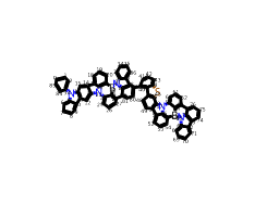 c1ccc(-n2c3ccccc3c3cc4c(cc32)c2cccc3c2n4-c2cccc4c2B3n2c3ccccc3c3c(-c5cccc6sc7c(ccc8c9cccc%10c9n(c87)-c7cccc8c7B%10n7c9ccccc9c9cccc-8c97)c56)ccc-4c32)cc1